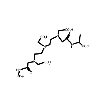 CCCCCCCCCCNC(=O)CN(CCN(CCN(CC(=O)O)CC(=O)NC(C)CCCCCCCC)CC(=O)O)CC(=O)O